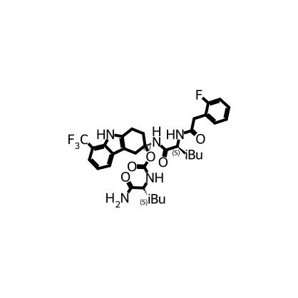 CCC(C)[C@H](NC(=O)Cc1ccccc1F)C(=O)N[C@@]1(OC(=O)NC(C(N)=O)[C@@H](C)CC)CCc2[nH]c3c(C(F)(F)F)cccc3c2C1